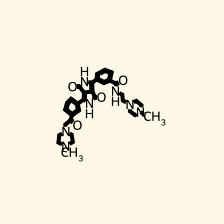 CN1CCN(CCNC(=O)c2cccc(C3=C4C(=O)NC(c5cccc(C(=O)CN6CCN(C)CC6)c5)=C4C(=O)N3)c2)CC1